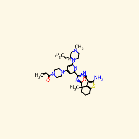 C=CC(=O)N1CCN(c2cc(-c3noc(C4(C)CCCc5sc(N)c(C#N)c54)n3)nc(N3CCN(C)C[C@@H]3CC)c2)CC1